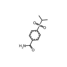 CC(C)S(=O)(=O)c1ccc(C(N)=O)cc1